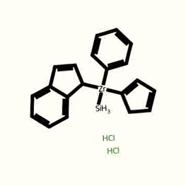 Cl.Cl.[SiH3][Zr]([C]1=CC=CC1)([c]1ccccc1)[CH]1C=Cc2ccccc21